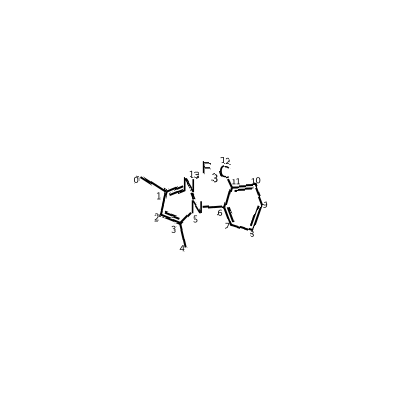 Cc1cc(C)n(-c2ccccc2C(F)(F)F)n1